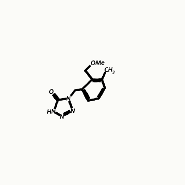 COCc1c(C)cccc1Cn1nn[nH]c1=O